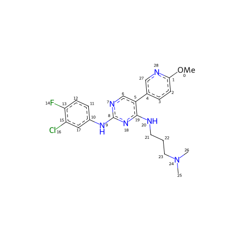 COc1ccc(-c2cnc(Nc3ccc(F)c(Cl)c3)nc2NCCCN(C)C)cn1